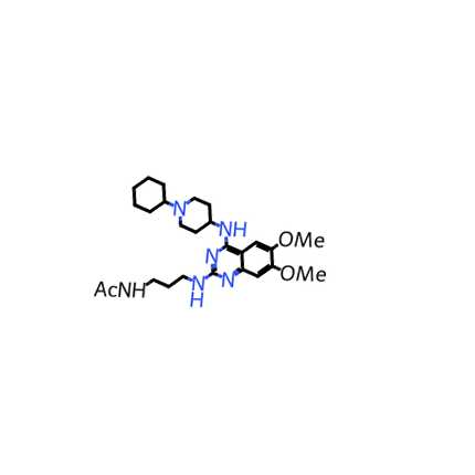 COc1cc2nc(NCCCNC(C)=O)nc(NC3CCN(C4CCCCC4)CC3)c2cc1OC